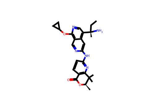 CC[C@](C)(N)c1cnc(OC2CC2)c2cnc(Nc3ccc4c(n3)C(C)(C)[C@@H](C)OC4=O)cc12